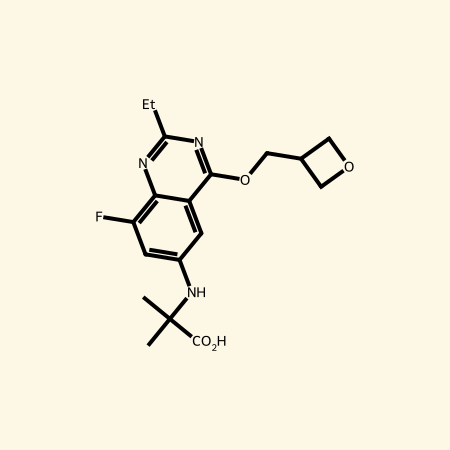 CCc1nc(OCC2COC2)c2cc(NC(C)(C)C(=O)O)cc(F)c2n1